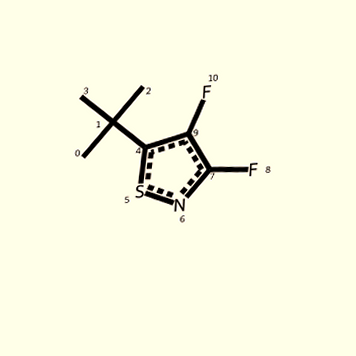 CC(C)(C)c1snc(F)c1F